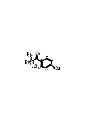 CC[Si](CC)(CC)C(=O)c1ccc(C(C)(C)C)cc1